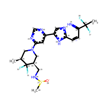 C[C@H]1CN(c2cc(-c3cnc(/C=C\C(=N)C(C)(F)F)[nH]3)ncn2)C[C@@H](CN[S+](C)[O-])C1(F)F